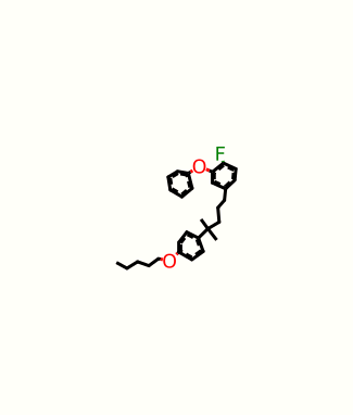 CCCCCOc1ccc(C(C)(C)CCCc2ccc(F)c(Oc3ccccc3)c2)cc1